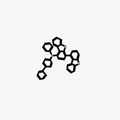 c1ccc(-c2ccc(N(c3ccccc3)c3ccc(-c4cccc5sc6ccccc6c45)c4oc5ccccc5c34)cc2)cc1